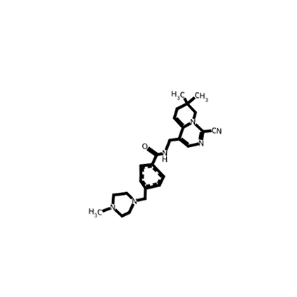 CN1CCN(Cc2ccc(C(=O)NCC3=CN=C(C#N)N4CC(C)(C)CC=C34)cc2)CC1